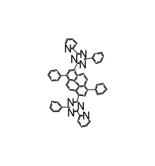 c1ccc(-c2nc(-c3ccccn3)nc(-c3cc(-c4ccccc4)c4ccc5c(-c6nc(-c7ccccc7)nc(-c7ccccn7)n6)cc(-c6ccccc6)c6ccc3c4c65)n2)cc1